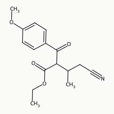 CCOC(=O)C(C(=O)c1ccc(OC)cc1)C(C)CC#N